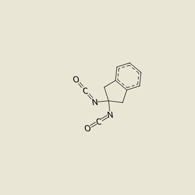 O=C=NC1(N=C=O)Cc2ccccc2C1